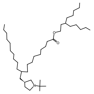 CCCCCCCCCCC(CCCCCCCCC(=O)OCCC(CCCCC)CCCCC)C[C@@H]1CCN(C(C)(C)C)C1